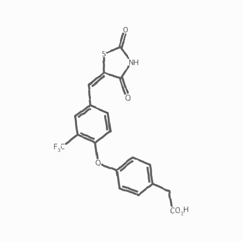 O=C(O)Cc1ccc(Oc2ccc(C=C3SC(=O)NC3=O)cc2C(F)(F)F)cc1